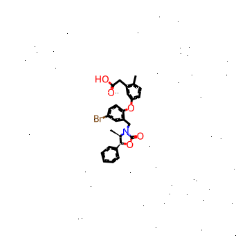 Cc1ccc(Oc2ccc(Br)cc2CN2C(=O)O[C@@H](c3ccccc3)[C@H]2C)cc1CC(=O)O